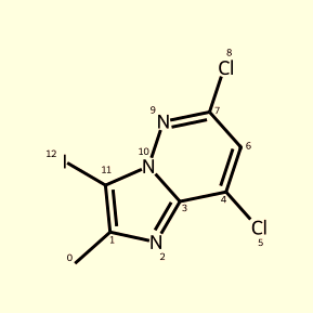 Cc1nc2c(Cl)cc(Cl)nn2c1I